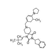 CC1CC(CN2CCC3(CC2)C(=O)N(C2Cc4ccccc4C2)C(=O)N3CCC(C)(C)C)=CC=C1N1CCCC1